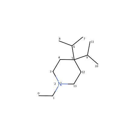 CCN1CCC(C(C)C)(C(C)C)CC1